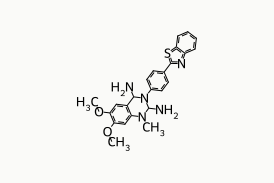 COc1cc2c(cc1OC)N(C)C(N)N(c1ccc(-c3nc4ccccc4s3)cc1)C2N